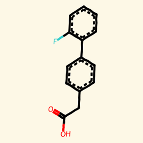 O=C(O)Cc1ccc(-c2ccccc2F)cc1